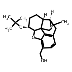 CN1CCC23c4c5ccc(CO)c4OC2[C@@H](OC(C)(C)C)CC[C@H]3[C@H]1C5